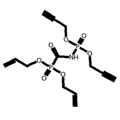 C#CCOP(=O)(NC(=O)P(=O)(OCC=C)OCC=C)OCC#C